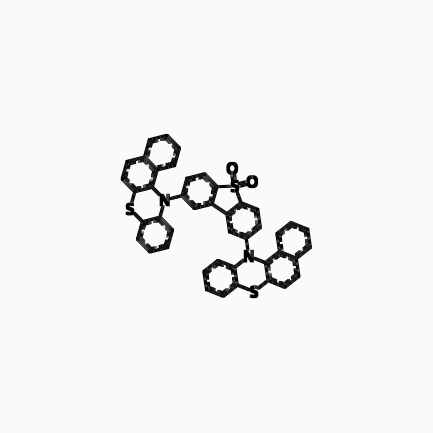 O=S1(=O)c2ccc(N3c4ccccc4Sc4ccc5ccccc5c43)cc2-c2cc(N3c4ccccc4Sc4ccc5ccccc5c43)ccc21